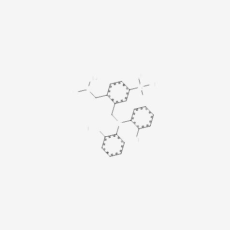 Cc1ccccc1P(Cc1cc([Si](C)(C)C)ccc1CP(C(C)(C)C)C(C)(C)C)c1ccccc1C